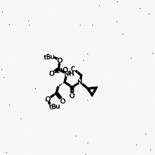 CCOC(=O)CN(C(=O)[C@H](CC(=O)OC(C)(C)C)NC(=O)OC(C)(C)C)C1CC1